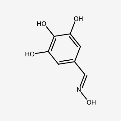 ON=Cc1cc(O)c(O)c(O)c1